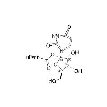 CCCCCC(=O)O[C@@]1(n2ccc(=O)[nH]c2=O)O[C@H](CO)[C@@H](O)[C@H]1O